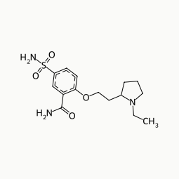 CCN1CCCC1CCOc1ccc(S(N)(=O)=O)cc1C(N)=O